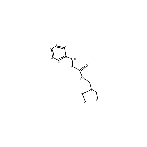 CCC(CC)COC(=O)COc1ccccc1